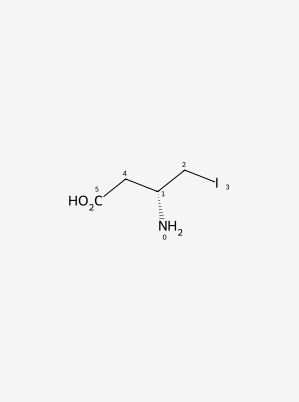 N[C@@H](CI)CC(=O)O